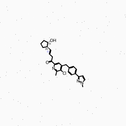 Cc1nc(C(=O)C/C=C/[C@H]2CCC[C@@H]2O)cc(Cc2ccc(-c3ccn(C)n3)cc2)c1Cl